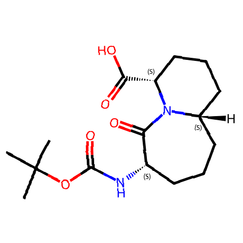 CC(C)(C)OC(=O)N[C@H]1CCC[C@H]2CCC[C@@H](C(=O)O)N2C1=O